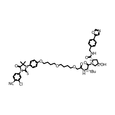 CC(C)(C)[C@H](NC(=O)COCCCCOCCCCOc1ccc(N2C(=S)N(c3ccc(C#N)c(Cl)c3)C(=O)C2(C)C)cc1)C(=O)N1C[C@H](O)C[C@H]1C(=O)NCc1ccc(-c2cnco2)cc1